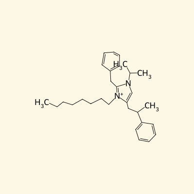 CCCCCCCC[n+]1c(CC(C)c2ccccc2)cn(C(C)C)c1Cc1ccccc1